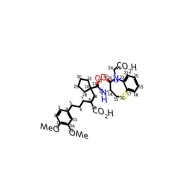 COc1ccc(CCCC(CC2(C(=O)N[C@H]3CSc4ccccc4N(CC(=O)O)C3=O)CCCC2)C(=O)O)cc1OC